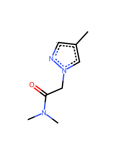 Cc1[c]nn(CC(=O)N(C)C)c1